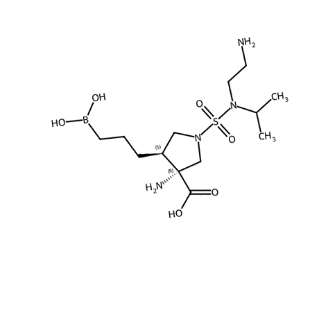 CC(C)N(CCN)S(=O)(=O)N1C[C@H](CCCB(O)O)[C@](N)(C(=O)O)C1